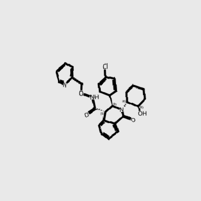 O=C(NOCc1ccccn1)[C@H]1c2ccccc2C(=O)N([C@@H]2CCCC[C@H]2O)[C@@H]1C1C=CC(Cl)=CC1